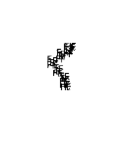 F.F.F.F[B-](F)(F)F.F[B-](F)(F)F.F[B-](F)(F)F.F[B-](F)(F)F.F[B-](F)(F)F